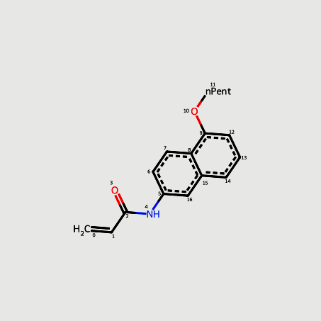 C=CC(=O)Nc1ccc2c(OCCCCC)cccc2c1